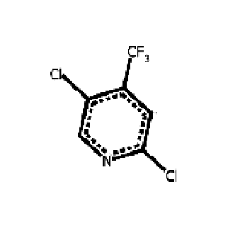 FC(F)(F)c1[c]c(Cl)ncc1Cl